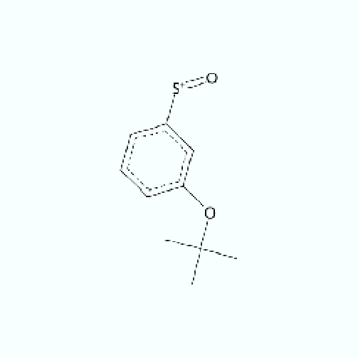 CC(C)(C)Oc1cccc([S+]=O)c1